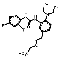 CC(C)CN(CC(C)C)c1ccc(CCOCC(=O)O)cc1NC(=O)Nc1ccc(F)cc1F